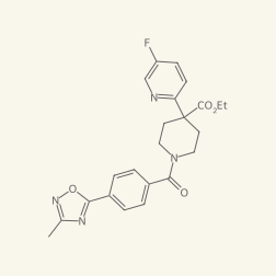 CCOC(=O)C1(c2ccc(F)cn2)CCN(C(=O)c2ccc(-c3nc(C)no3)cc2)CC1